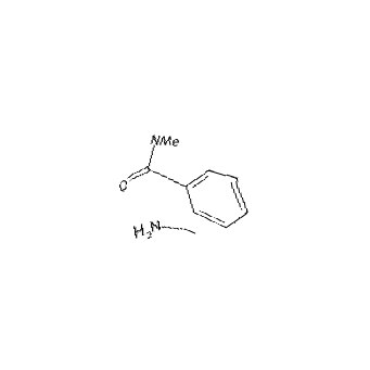 CN.CNC(=O)c1ccccc1